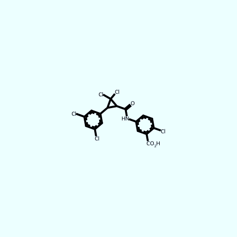 O=C(O)c1cc(NC(=O)C2C(c3cc(Cl)cc(Cl)c3)C2(Cl)Cl)ccc1Cl